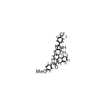 COc1ccc(NC(=O)N(Cc2ccccc2)C2CCN(Cc3nc(-c4ccc(C(F)(F)F)cc4)[nH]c3C)CC2)cc1